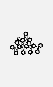 c1ccc(N(c2ccccc2)c2ccc3c(c2)N(c2ccccc2)c2cc4c5c6c2B3c2cccc3c2N6c2c(cc6oc7ccccc7c6c2B5c2ccc(N(c5ccccc5)c5ccccc5)cc2N4c2ccccc2)N3c2ccccc2)cc1